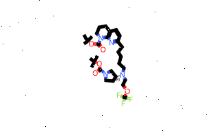 CC(C)(C)OC(=O)N1CC[C@@H](N(CCCCCc2ccc3c(n2)N(C(=O)OC(C)(C)C)CCC3)CCOC(F)(F)F)C1